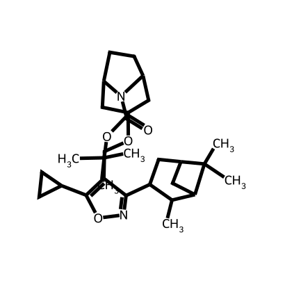 CC1C(c2noc(C3CC3)c2COC2CC3CCC(C2)N3C(=O)OC(C)(C)C)CC2CC1C2(C)C